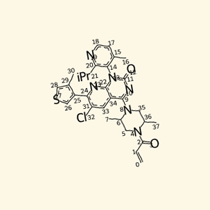 C=CC(=O)N1CC(C)N(c2nc(=O)n(-c3c(C)ccnc3C(C)C)c3nc(-c4cscc4C)c(Cl)cc23)CC1C